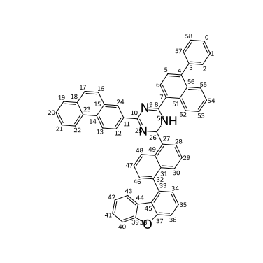 c1ccc(-c2ccc(C3=NC(c4ccc5c(ccc6ccccc65)c4)=NC(c4cccc5c(-c6cccc7oc8ccccc8c67)cccc45)N3)c3ccccc23)cc1